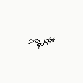 CC[C@H]1CCCN(c2cc(-c3n[nH]c4ccc(NC(=O)C5=C(C)N(C)c6nnnn6[C@@H]5C)cc34)ncn2)C1